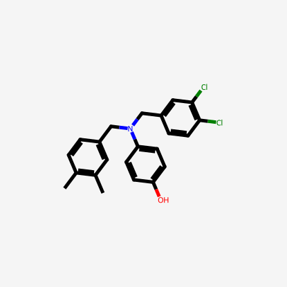 Cc1ccc(CN(Cc2ccc(Cl)c(Cl)c2)c2ccc(O)cc2)cc1C